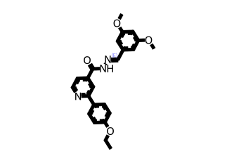 CCOc1ccc(-c2cc(C(=O)N/N=C/c3cc(OC)cc(OC)c3)ccn2)cc1